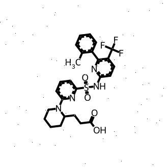 Cc1ccccc1-c1nc(NS(=O)(=O)c2cccc(N3CCCCC3CCC(=O)O)n2)ccc1C(F)(F)F